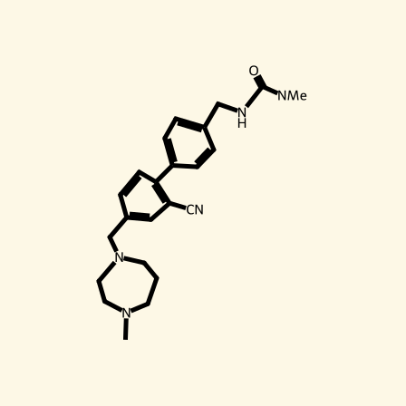 CNC(=O)NCc1ccc(-c2ccc(CN3CCCN(C)CC3)cc2C#N)cc1